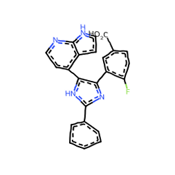 O=C(O)c1ccc(F)c(-c2nc(-c3ccccc3)[nH]c2-c2ccnc3[nH]ccc23)c1